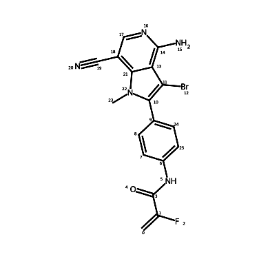 C=C(F)C(=O)Nc1ccc(-c2c(Br)c3c(N)ncc(C#N)c3n2C)cc1